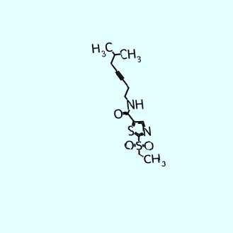 CCS(=O)(=O)c1ncc(C(=O)NCCC#CCC(C)C)s1